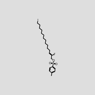 Cc1ccc(S(=O)(=O)OCC(F)=CCCCCCCCCCCCCI)cc1